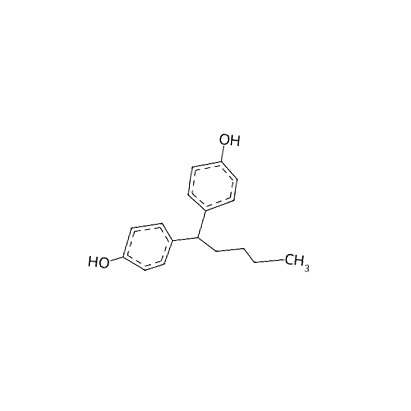 CCCCC(c1ccc(O)cc1)c1ccc(O)cc1